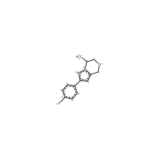 CC1COCc2cc(-c3ccc(F)cc3)nn21